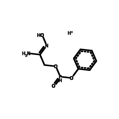 NC(CO[PH](=O)Oc1ccccc1)=NO.[H+]